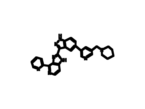 c1ccc(-c2nccc3[nH]c(-c4n[nH]c5ccc(-c6cncc(CN7CCCCC7)c6)cc45)nc23)nc1